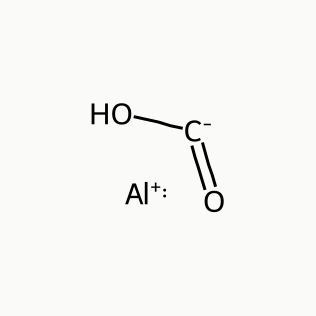 O=[C-]O.[Al+]